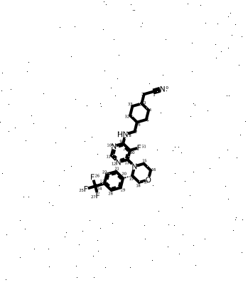 N#CCC1CCC(CNc2ncnc(N3CCOC[C@@H]3c3ccc(C(F)(F)F)cc3)c2F)CC1